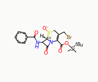 CC(C)(C)[Si](C)(C)OC(=O)C1=C(CBr)C[S+]([O-])[C@H]2C(NC(=O)c3ccccc3)C(=O)N12